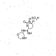 N=C(NC1CNCCOC1)[C@@H]1CC[C@@H]2CN1C(=O)N2OS(=O)(=O)O